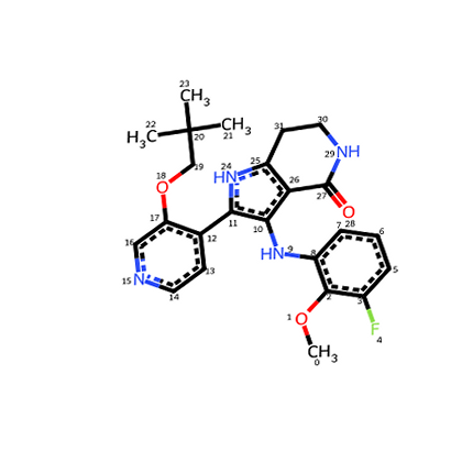 COc1c(F)cccc1Nc1c(-c2ccncc2OCC(C)(C)C)[nH]c2c1C(=O)NCC2